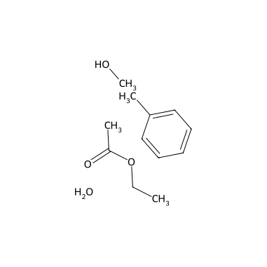 CCOC(C)=O.CO.Cc1ccccc1.O